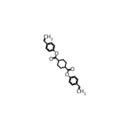 C=Cc1ccc(OC(=O)C2CCC(C(=O)Oc3ccc(C=C)cc3)CC2)cc1